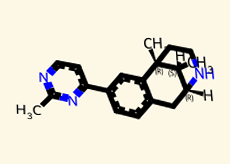 Cc1nccc(-c2ccc3c(c2)[C@]2(C)CCN[C@H](C3)[C@H]2C)n1